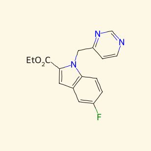 CCOC(=O)c1cc2cc(F)ccc2n1Cc1ccncn1